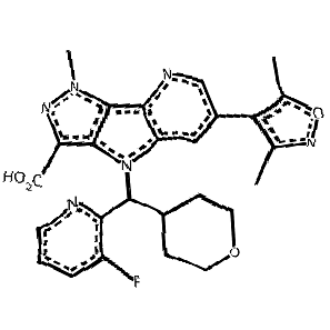 Cc1noc(C)c1-c1cnc2c3c(c(C(=O)O)nn3C)n(C(c3ncccc3F)C3CCOCC3)c2c1